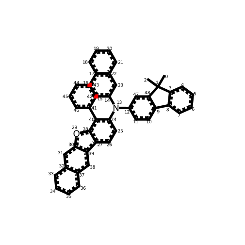 CC1(C)c2ccccc2-c2ccc(N(c3ccc4ccccc4c3)c3ccc4c(oc5cc6ccccc6cc54)c3-c3ccccc3)cc21